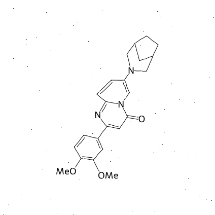 COc1ccc(-c2cc(=O)n3cc(N4CC5CCC(C5)C4)ccc3n2)cc1OC